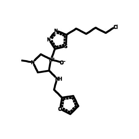 CN1CC(NCc2ccco2)[N+]([O-])(c2nnc(CCCCCl)s2)C1